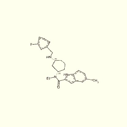 CCN(C(=O)c1cc2cc(C)ccc2[nH]1)[C@H]1CCC[C@@H](NCc2cccc(F)c2)C1